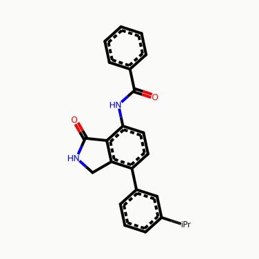 CC(C)c1cccc(-c2ccc(NC(=O)c3ccccc3)c3c2CNC3=O)c1